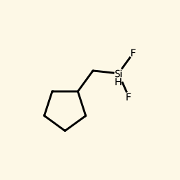 F[SiH](F)CC1CCCC1